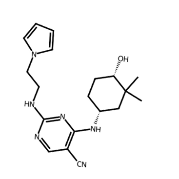 CC1(C)C[C@H](Nc2nc(NCCn3cccc3)ncc2C#N)CC[C@@H]1O